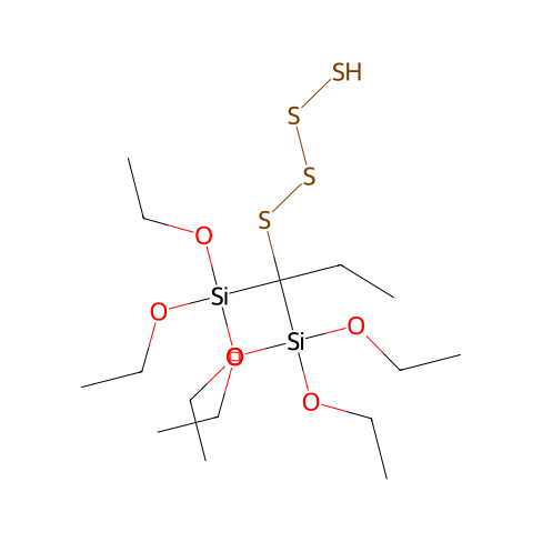 CCO[Si](OCC)(OCC)C(CC)(SSSS)[Si](OCC)(OCC)OCC